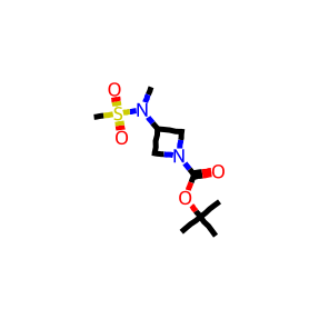 CN(C1CN(C(=O)OC(C)(C)C)C1)S(C)(=O)=O